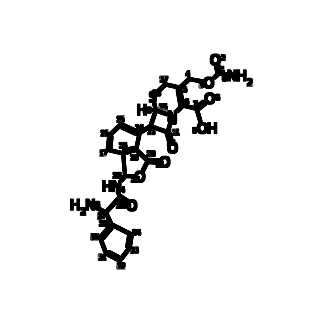 NC(=O)OCC1=C(C(=O)O)N2C(=O)C(c3cccc4c3C(=O)OC4NC(=O)C(N)c3ccccc3)[C@@H]2SC1